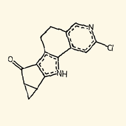 O=C1c2c([nH]c3c2CCc2cnc(Cl)cc2-3)C2CC12